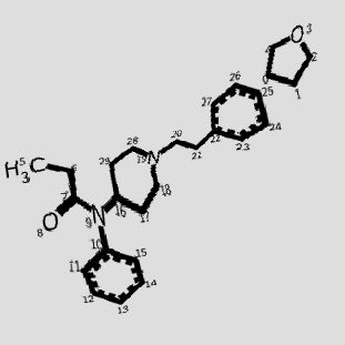 C1CCOC1.CCC(=O)N(c1ccccc1)C1CCN(CCc2ccccc2)CC1